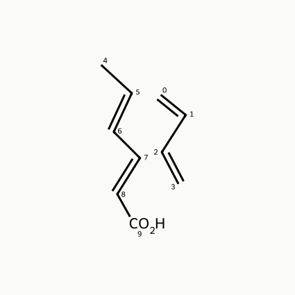 C=CC=C.CC=CC=CC(=O)O